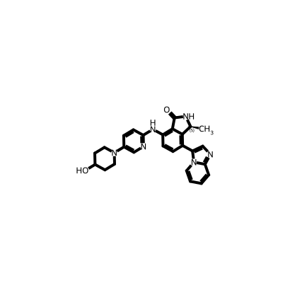 C[C@@H]1NC(=O)c2c(Nc3ccc(N4CCC(O)CC4)cn3)ccc(-c3cnc4ccccn34)c21